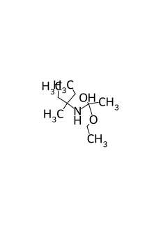 CCOC(C)(O)NC(C)(CC)CC